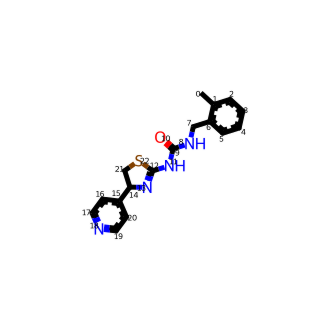 Cc1ccccc1CNC(=O)NC1=NC(c2ccncc2)CS1